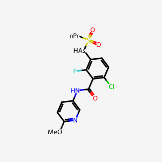 CCCS(=O)(=O)[AsH]c1ccc(Cl)c(C(=O)Nc2ccc(OC)nc2)c1F